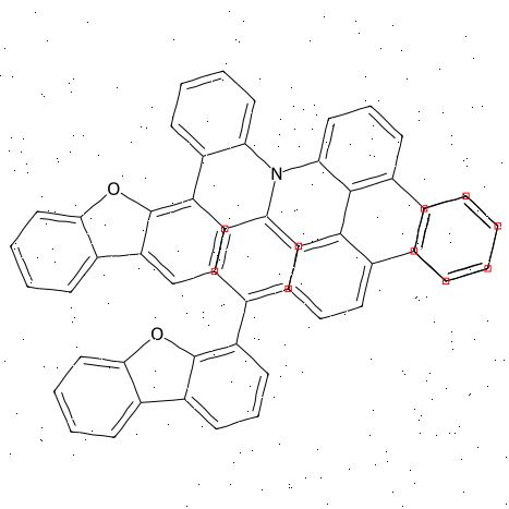 c1ccc(-c2ccccc2-c2c(-c3ccccc3)cccc2N(c2ccc(-c3cccc4c3oc3ccccc34)cc2)c2ccccc2-c2cccc3c2oc2ccccc23)cc1